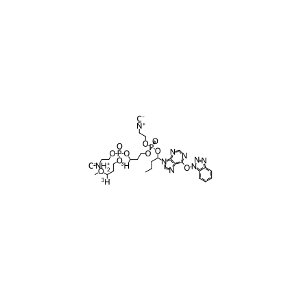 [3H]C(CCOP(=O)(OCC[NH2+][CH2-])OC([3H])CCOP(=O)(OCC[N+]#[C-])OC(CCC)n1cnc2c(On3nnc4ccccc43)ncnc21)OC